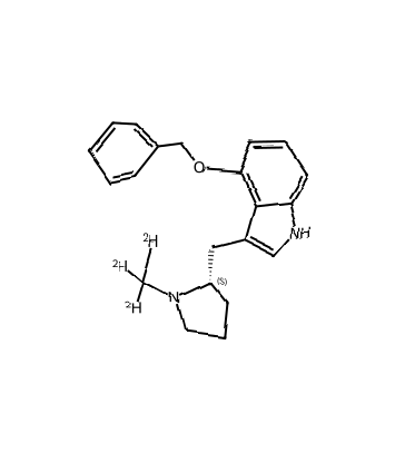 [2H]C([2H])([2H])N1CCC[C@H]1Cc1c[nH]c2cccc(OCc3ccccc3)c12